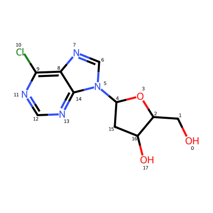 OCC1OC(n2cnc3c(Cl)ncnc32)CC1O